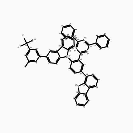 Cc1cc(-c2ccc3c(c2)c2ccccc2n3-c2ccc(-c3cccc4c3sc3ccccc34)cc2-c2nc(-c3ccccc3)nc(-c3ccccc3)n2)cc(C(F)(F)F)c1